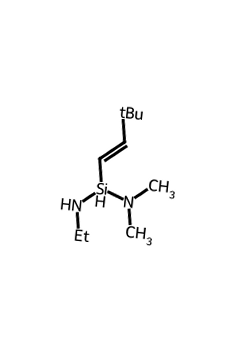 CCN[SiH](C=CC(C)(C)C)N(C)C